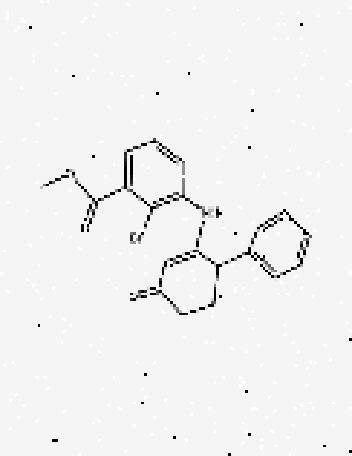 COC(=O)c1cccc(NC2=CC(=O)CCC2c2ccccc2)c1Br